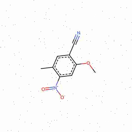 COc1cc([N+](=O)[O-])c(C)cc1C#N